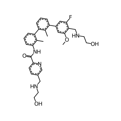 COc1cc(-c2cccc(-c3cccc(NC(=O)c4ccc(CNCCO)cn4)c3C)c2C)cc(F)c1CNCCO